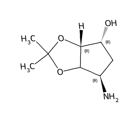 CC1(C)OC2[C@H](N)C[C@@H](O)[C@H]2O1